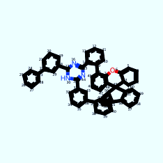 C1=CCC2C(=C1)Oc1c(-c3ccccc3C3=NC(c4cccc(-c5ccccc5)c4)NC(c4cccc(-c5ccccc5)c4)=N3)cccc1C21c2ccccc2-c2ccccc21